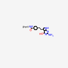 CCC[C@@H](C)NC(=O)c1ccc(CCc2c[nH]c3nc(N)nc(O)c23)cc1